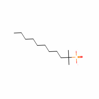 CCCCCCCCCC(C)(C)P(=O)(O)O